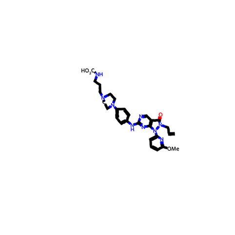 C=CCn1c(=O)c2cnc(Nc3ccc(N4CCN(CCCNC(=O)O)CC4)cc3)nc2n1-c1cccc(OC)n1